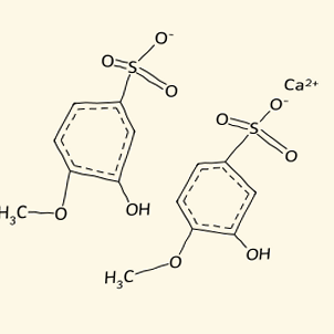 COc1ccc(S(=O)(=O)[O-])cc1O.COc1ccc(S(=O)(=O)[O-])cc1O.[Ca+2]